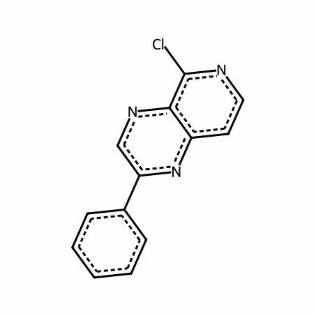 Clc1nccc2nc(-c3ccccc3)cnc12